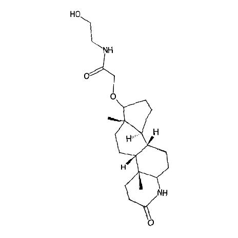 C[C@]12CCC(=O)NC1CC[C@@H]1[C@H]2CC[C@]2(C)C(OCC(=O)NCCO)CC[C@@H]12